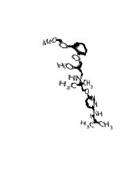 COCOc1ccccc1OCC(O)CNC(C)(C)COc1ccc(NN=C(C)C)nn1